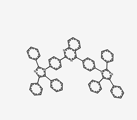 c1ccc(-c2nc(-c3ccccc3)n(-c3ccc(-c4nc(-c5ccc(-n6c(-c7ccccc7)nc(-c7ccccc7)c6-c6ccccc6)cc5)c5ccccc5n4)cc3)c2-c2ccccc2)cc1